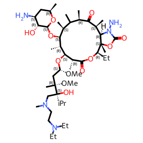 CC[C@H]1OC(=O)[C@H](C)[C@@H](O[C@@H](C[C@@](C)(OC)[C@@](O)(CN(C)CCN(CC)CC)C(C)C)OC)[C@H](C)[C@@H](O[C@@H]2O[C@H](C)C[C@H](N)[C@H]2O)[C@@H](C)C(C)[C@@H](C)C(=O)[C@@H](C)[C@H]2N(N)C(=O)O[C@]12C